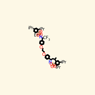 CCc1cc(C(C)C)cc(C(C)C)c1S(=O)(=O)O/N=C(/c1ccc(OCCCOc2ccc(/C3=N/OS(=O)(=O)c4c(C(C)C)cc(C(C)C)cc4C(C)C3)cc2)cc1)C(F)(F)F